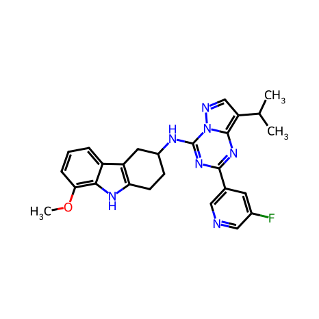 COc1cccc2c3c([nH]c12)CCC(Nc1nc(-c2cncc(F)c2)nc2c(C(C)C)cnn12)C3